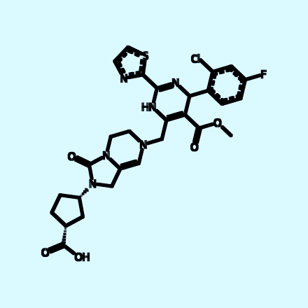 COC(=O)C1=C(CN2C=C3CN([C@H]4CC[C@@H](C(=O)O)C4)C(=O)N3CC2)NC(c2nccs2)=NC1c1ccc(F)cc1Cl